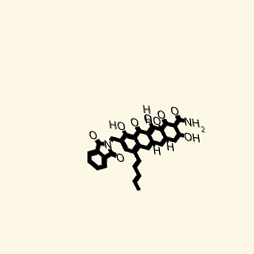 CCCCCc1cc(CN2C(=O)c3ccccc3C2=O)c(O)c2c1C[C@H]1C[C@H]3CC(O)C(C(N)=O)C(=O)[C@@]3(O)C(O)=C1C2=O